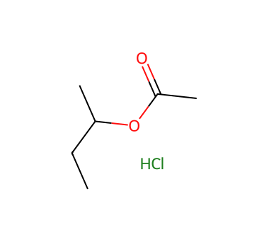 CCC(C)OC(C)=O.Cl